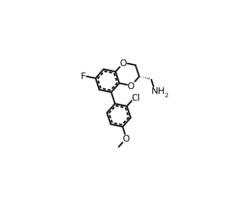 COc1ccc(-c2cc(F)cc3c2O[C@@H](CN)CO3)c(Cl)c1